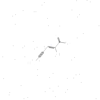 CC#C/C=C(\C)C([NH])=O